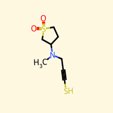 CN(CC#CS)C1CCS(=O)(=O)C1